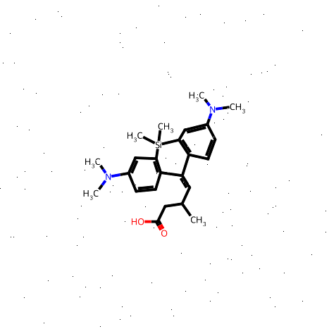 CC(C=C1c2ccc(N(C)C)cc2[Si](C)(C)c2cc(N(C)C)ccc21)CC(=O)O